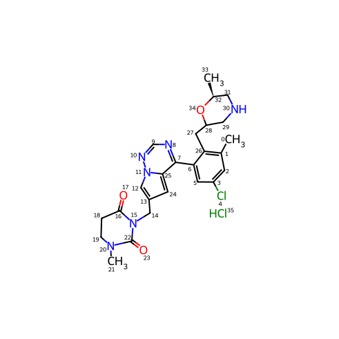 Cc1cc(Cl)cc(-c2ncnn3cc(CN4C(=O)CCN(C)C4=O)cc23)c1CC1CNC[C@H](C)O1.Cl